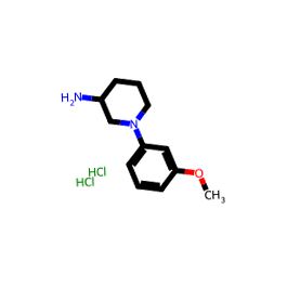 COc1cccc(N2CCCC(N)C2)c1.Cl.Cl